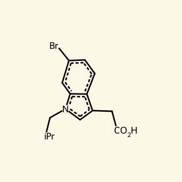 CC(C)Cn1cc(CC(=O)O)c2ccc(Br)cc21